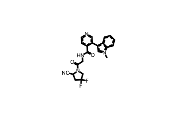 Cn1cc(-c2cnccc2C(=O)NCC(=O)N2CC(F)(F)CC2C#N)c2ccccc21